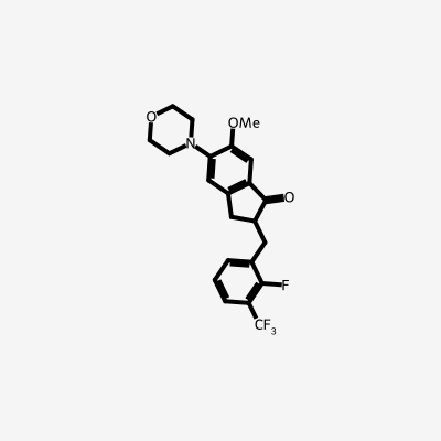 COc1cc2c(cc1N1CCOCC1)CC(Cc1cccc(C(F)(F)F)c1F)C2=O